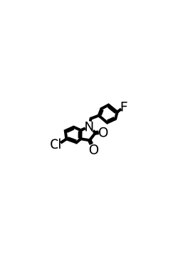 O=C1C(=O)N(Cc2ccc(F)cc2)c2ccc(Cl)cc21